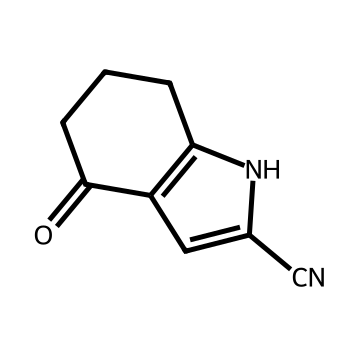 N#Cc1cc2c([nH]1)CCCC2=O